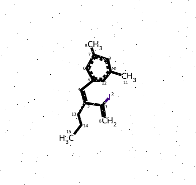 C=C(I)/C(=C\c1cc(C)cc(C)c1)CCC